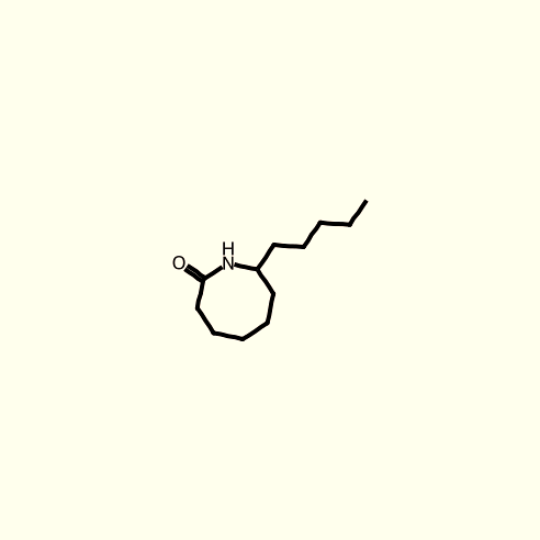 CCCCCC1CCCCCC(=O)N1